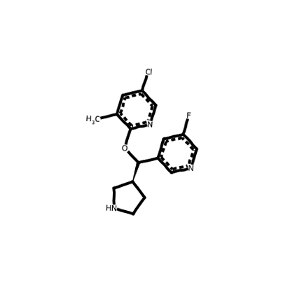 Cc1cc(Cl)cnc1OC(c1cncc(F)c1)[C@H]1CCNC1